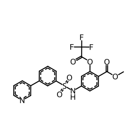 COC(=O)c1ccc(NS(=O)(=O)c2cccc(-c3cccnc3)c2)cc1OC(=O)C(F)(F)F